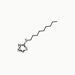 CCCCCCCCCSc1nn[c]s1